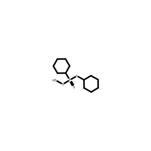 S=P(SS)(SC1CCCCC1)C1CCCCC1